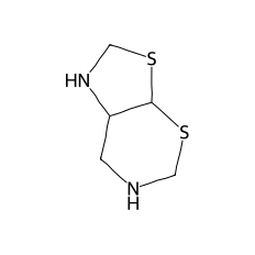 C1NCC2NCSC2S1